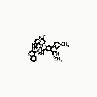 CN1CCN(c2cc(OCC(F)(F)F)c(Nc3nc(Nc4cnc5ccccc5c4P=O)c4cc[nH]c4n3)cc2-c2cnn(C)c2)CC1